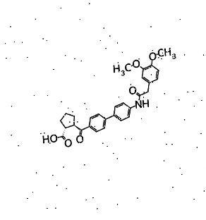 COc1ccc(CC(=O)Nc2ccc(-c3ccc(C(=O)[C@@H]4CCC[C@H]4C(=O)O)cc3)cc2)cc1OC